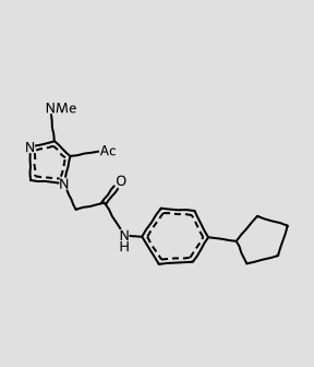 CNc1ncn(CC(=O)Nc2ccc(C3CCCC3)cc2)c1C(C)=O